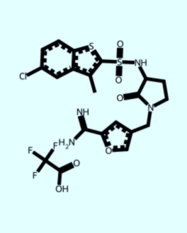 Cc1c(S(=O)(=O)NC2CCN(Cc3coc(C(=N)N)c3)C2=O)sc2ccc(Cl)cc12.O=C(O)C(F)(F)F